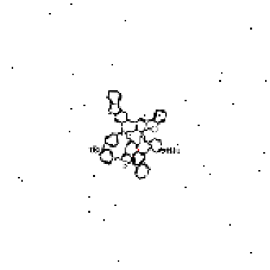 CC(C)(C)c1ccc(N2B3c4cc5c(-c6ccccc6)sc(-c6ccccc6)c5cc4N(c4ccc(C(C)(C)C)cc4-c4ccccc4)c4c3c(cc3c4oc4ccccc43)-c3cc4c(cc32)sc2ccccc24)cc1